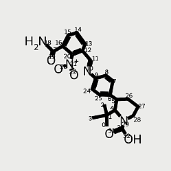 CC(C)(C)C1C(c2ccc(N=Cc3cccc(C(N)=O)c3[N+](=O)[O-])cc2)CCCN1C(=O)O